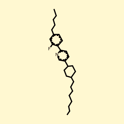 CCCCCCCCC1CCC(c2ccc(-c3ccc(CCCCC)cc3F)nc2)CC1